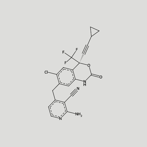 N#Cc1c(Cc2cc3c(cc2Cl)[C@@](C#CC2CC2)(C(F)(F)F)OC(=O)N3)ccnc1N